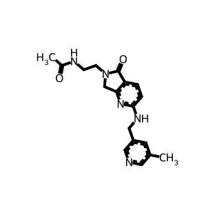 CC(=O)NCCN1Cc2nc(NCc3cncc(C)c3)ccc2C1=O